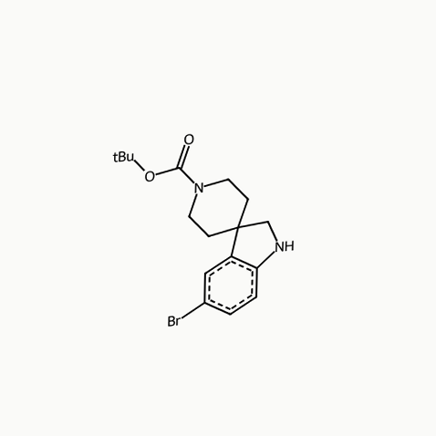 CC(C)(C)OC(=O)N1CCC2(CC1)CNc1ccc(Br)cc12